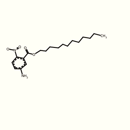 CCCCCCCCCCCCOC(=O)c1cc(N)ccc1[N+](=O)[O-]